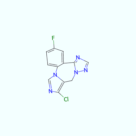 Fc1ccc2c(c1)-c1ncnn1Cc1c(Cl)ncn1-2